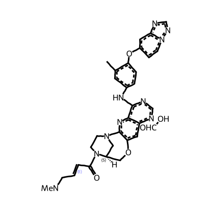 CNC/C=C/C(=O)N1CCN2C[C@H]1COc1cc3ncnc(Nc4ccc(Oc5ccn6ncnc6c5)c(C)c4)c3nc12.O=CO